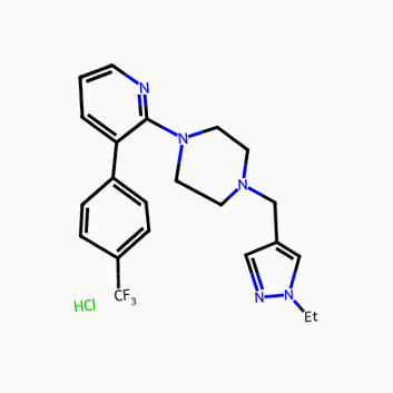 CCn1cc(CN2CCN(c3ncccc3-c3ccc(C(F)(F)F)cc3)CC2)cn1.Cl